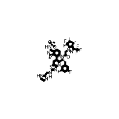 C[C@@H]1c2c(C(F)(F)F)nn(CC(=O)N[C@@H](Cc3cc(F)cc(F)c3)c3nc4nc(NCc5ncc[nH]5)sc4cc3-c3cccc4c(NS(C)(=O)=O)nn(C)c34)c2C(F)(F)[C@@H]1C